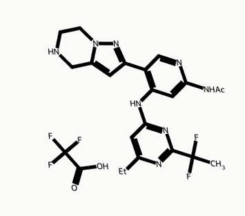 CCc1cc(Nc2cc(NC(C)=O)ncc2-c2cc3n(n2)CCNC3)nc(C(C)(F)F)n1.O=C(O)C(F)(F)F